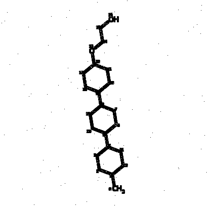 CC1CCC(C2CCC(C3CCC(OCCO)CC3)CC2)CC1